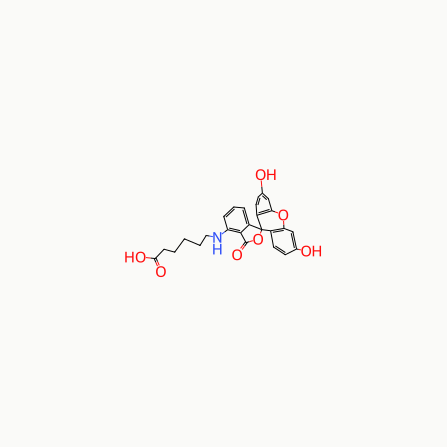 O=C(O)CCCCCNc1cccc2c1C(=O)OC21c2ccc(O)cc2Oc2cc(O)ccc21